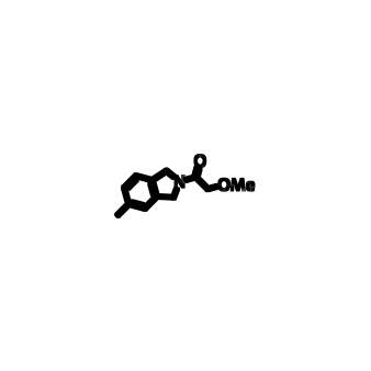 COCC(=O)N1Cc2ccc(C)cc2C1